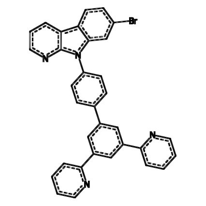 Brc1ccc2c3cccnc3n(-c3ccc(-c4cc(-c5ccccn5)cc(-c5ccccn5)c4)cc3)c2c1